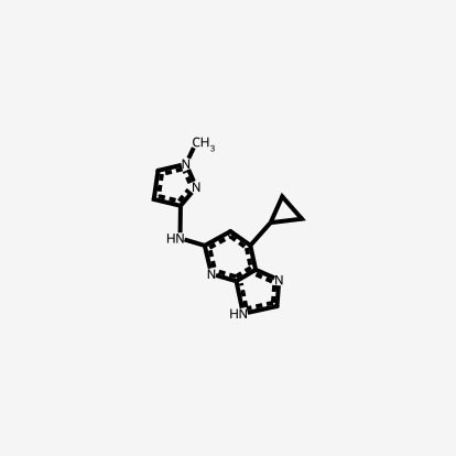 Cn1ccc(Nc2cc(C3CC3)c3nc[nH]c3n2)n1